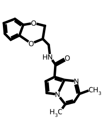 Cc1cc(C)n2ccc(C(=O)NCC3COc4ccccc4O3)c2n1